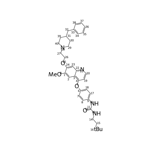 COc1cc2c(Oc3ccc(NC(=O)NCCC(C)(C)C)cc3)ccnc2cc1OCCN1CCC(Cc2ccccc2)CC1